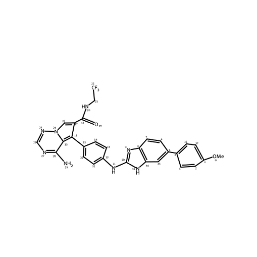 COc1ccc(-c2ccc3nc(Nc4ccc(-c5c(C(=O)NCC(F)(F)F)cn6ncnc(N)c56)cc4)[nH]c3c2)cc1